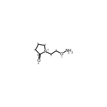 NOCCN1CCCC1=O